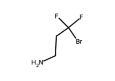 NCCC(F)(F)Br